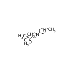 CCN1CCC(N2CCC(C(=O)C(C)(C)C)CC2)CC1